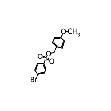 COc1ccc(COS(=O)(=O)c2ccc(Br)cc2)cc1